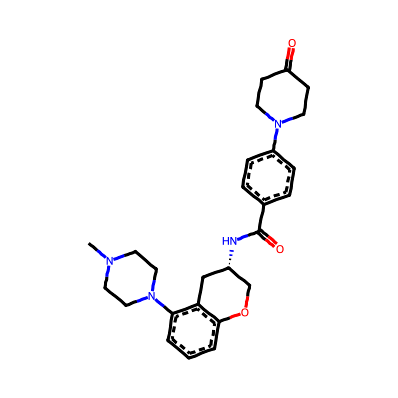 CN1CCN(c2cccc3c2C[C@H](NC(=O)c2ccc(N4CCC(=O)CC4)cc2)CO3)CC1